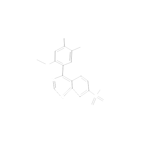 COc1cc(Cl)c(C)cc1-c1ncnc2cc(S(=O)(=O)F)ccc12